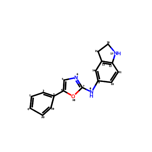 c1ccc(-c2cnc(Nc3ccc4c(c3)CCN4)o2)cc1